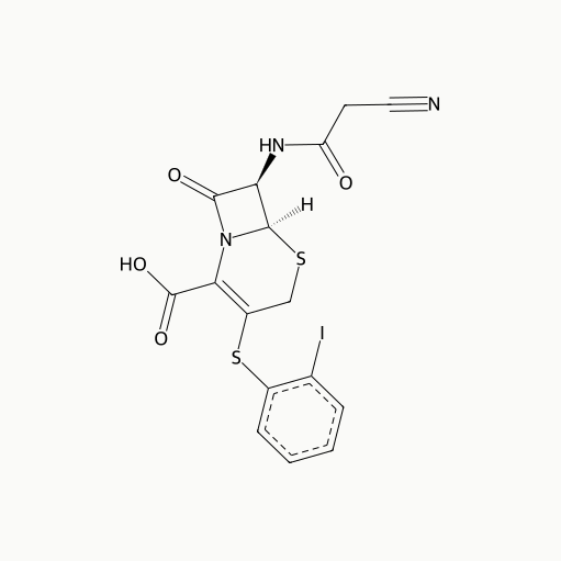 N#CCC(=O)N[C@@H]1C(=O)N2C(C(=O)O)=C(Sc3ccccc3I)CS[C@H]12